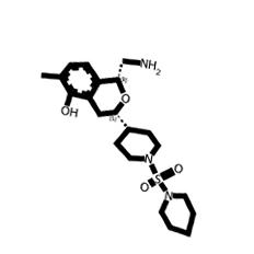 Cc1ccc2c(c1O)C[C@@H](C1CCN(S(=O)(=O)N3CCCCC3)CC1)O[C@H]2CN